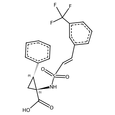 O=C(O)[C@]1(NS(=O)(=O)C=Cc2cccc(C(F)(F)F)c2)C[C@@H]1c1ccccc1